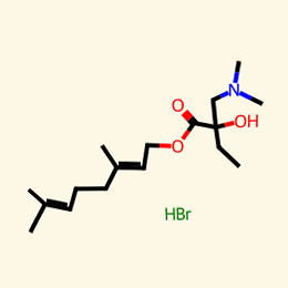 Br.CCC(O)(CN(C)C)C(=O)OC/C=C(\C)CCC=C(C)C